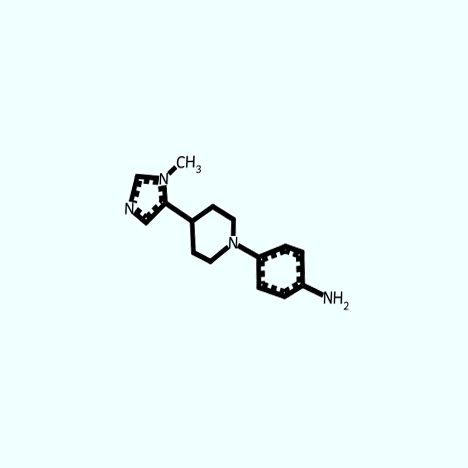 Cn1cncc1C1CCN(c2ccc(N)cc2)CC1